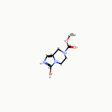 CC(C)(C)OC(=O)N1CCn2c(cnc2Br)C1